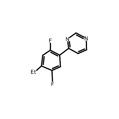 CCc1cc(F)c(-c2ccncn2)cc1F